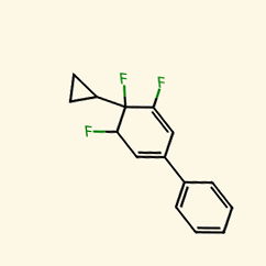 FC1=CC(c2ccccc2)=CC(F)C1(F)C1CC1